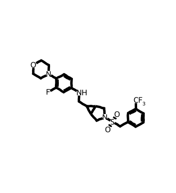 O=S(=O)(Cc1cccc(C(F)(F)F)c1)N1CC2C(CNc3ccc(N4CCOCC4)c(F)c3)C2C1